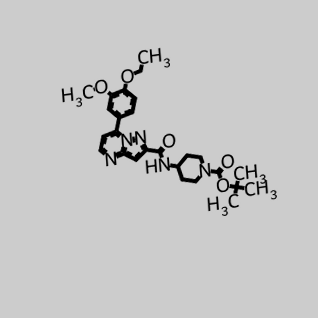 CCOc1ccc(-c2ccnc3cc(C(=O)NC4CCN(C(=O)OC(C)(C)C)CC4)nn23)cc1OC